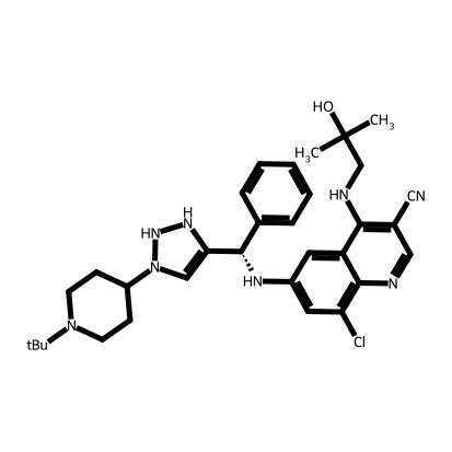 CC(C)(O)CNc1c(C#N)cnc2c(Cl)cc(N[C@H](C3=CN(C4CCN(C(C)(C)C)CC4)NN3)c3ccccc3)cc12